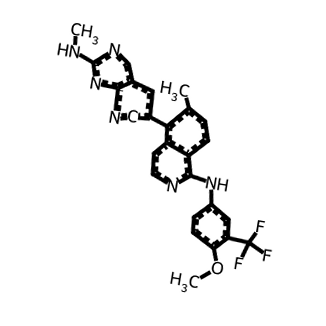 CNc1ncc2cc(-c3c(C)ccc4c(Nc5ccc(OC)c(C(F)(F)F)c5)nccc34)cnc2n1